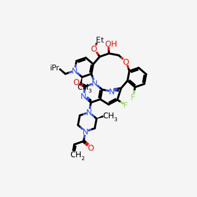 C=CC(=O)N1CCN(c2nc(=O)n3c4nc(c(F)cc24)-c2c(F)cccc2OCC(O)C(OCC)C2=C3[C@@H](C)N(CC(C)C)C=C2)[C@@H](C)C1